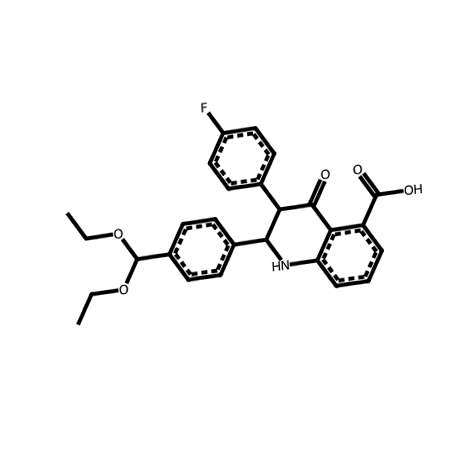 CCOC(OCC)c1ccc(C2Nc3cccc(C(=O)O)c3C(=O)C2c2ccc(F)cc2)cc1